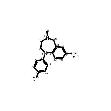 CN1CCN(c2ccc(Cl)cc2)c2ccc(C(F)(F)F)cc2C1